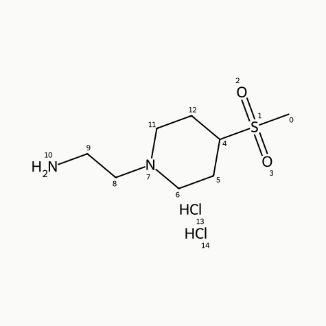 CS(=O)(=O)C1CCN(CCN)CC1.Cl.Cl